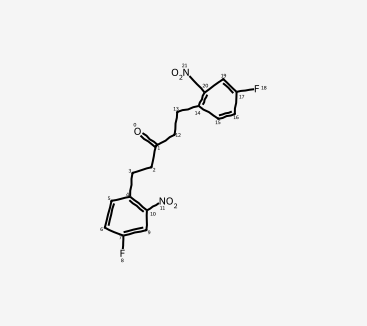 O=C(CCc1ccc(F)cc1[N+](=O)[O-])CCc1ccc(F)cc1[N+](=O)[O-]